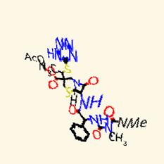 CNC(=O)N(C)C(=O)NC(C(=O)NC1C(=O)N2CC(C(=O)OCOC(C)=O)(C(C)Sc3nnn[nH]3)CS[C@H]12)c1ccccc1